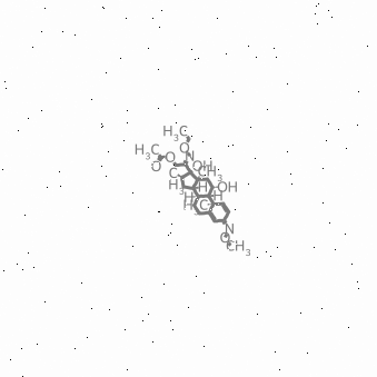 CCO/N=C(\COC(C)=O)[C@@]1(O)[C@H](C)C[C@H]2[C@@H]3CCC4=C/C(=N\OC)C=C[C@]4(C)[C@H]3[C@@H](O)C[C@@]21C